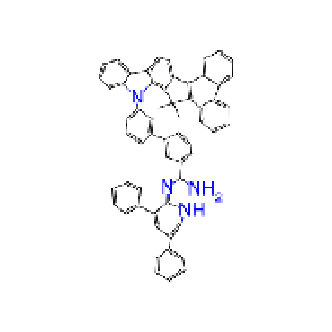 CC1(C)c2c(c3ccccc3c3ccccc23)-c2ccc3c4ccccc4n(-c4cccc(-c5cccc(C(N)/N=c6\[nH]cc(-c7ccccc7)cc6-c6ccccc6)c5)c4)c3c21